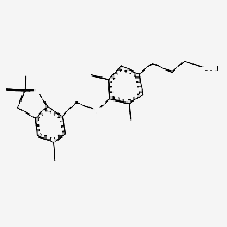 CC1(C)Cc2cc(F)cc(COc3c(F)cc(CCCC(=O)O)cc3F)c2O1